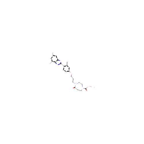 Cc1cc(OCCCN2CCN(C(=O)OC(C)(C)C)CCC2=O)ccc1-c1nc2c(C)cc(Cl)cc2[nH]1